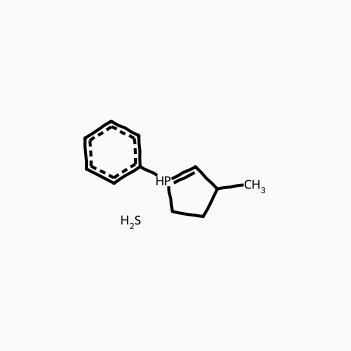 CC1C=[PH](c2ccccc2)CC1.S